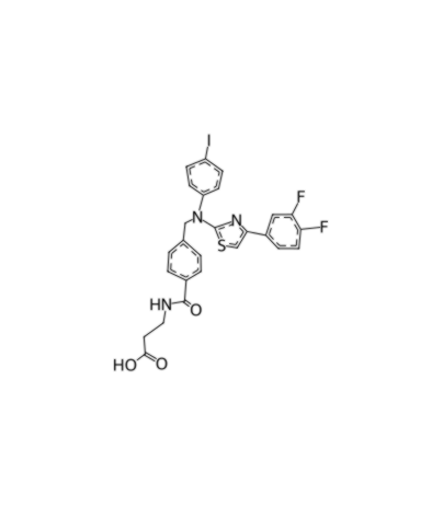 O=C(O)CCNC(=O)c1ccc(CN(c2ccc(I)cc2)c2nc(-c3ccc(F)c(F)c3)cs2)cc1